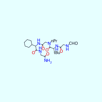 CCCN(CC(=O)NC(C(=O)NCC(N)=O)C1CCCCC1)C(=O)C(NC(=O)CNC=O)C(C)(C)C